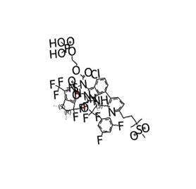 C[C@@H]1c2c(C(F)(F)F)nn(CC(=O)N[C@@H](Cc3cc(F)cc(F)c3)c3nc(CCC(C)(C)S(C)(=O)=O)ccc3-c3ccc(Cl)c4c(N(C(=O)OCCOP(=O)(O)O)S(C)(=O)=O)nn(CC(F)(F)F)c34)c2C(F)(F)[C@@H]1C